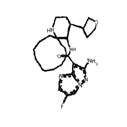 Nc1nn2cc(F)cnc2c1C(=O)NC1C(C2CCOC2)CCNC12CCCCCCCCC2